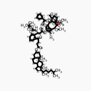 CO[C@H]1C(=O)[C@]2(C)[C@@H](OC)C[C@H]3OC[C@@]3(OC(C)=O)[C@H]2[C@H](OC(=O)c2ccccc2)[C@]2(O)C[C@H](OC(=O)[C@H](OC(=O)/C=C/C(=O)O[C@H]3CC[C@@]4(C)C(=CCC5C4CC[C@@]4(C)C5CC[C@@H]4[C@H](C)CCCC(C)C)C3)[C@@H](NC(=O)OC(C)(C)C)c3ccccc3)C(C)=C1C2(C)C